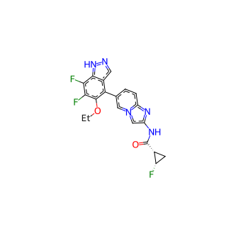 CCOc1c(F)c(F)c2[nH]ncc2c1-c1ccc2nc(NC(=O)[C@@H]3C[C@@H]3F)cn2c1